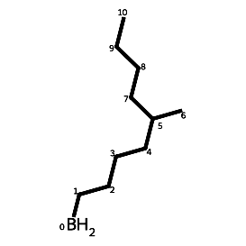 BCCCCC(C)CCCC